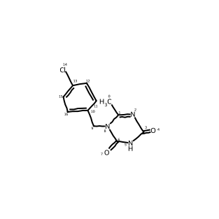 Cc1nc(=O)[nH]c(=O)n1Cc1ccc(Cl)cc1